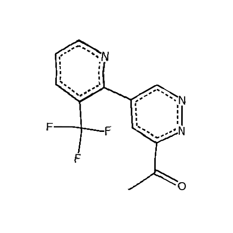 CC(=O)c1cc(-c2ncccc2C(F)(F)F)cnn1